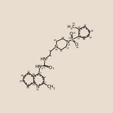 Cc1cc(NC(=O)NCCN2CCN(S(=O)(=O)c3ccccc3C)CC2)c2ccccc2n1